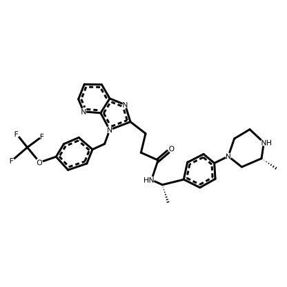 C[C@@H]1CN(c2ccc([C@H](C)NC(=O)CCc3nc4cccnc4n3Cc3ccc(OC(F)(F)F)cc3)cc2)CCN1